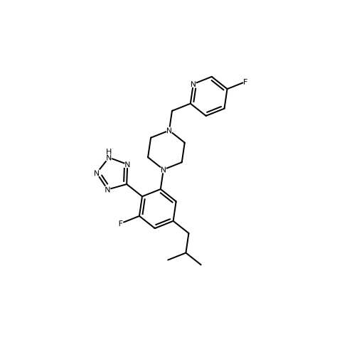 CC(C)Cc1cc(F)c(-c2nn[nH]n2)c(N2CCN(Cc3ccc(F)cn3)CC2)c1